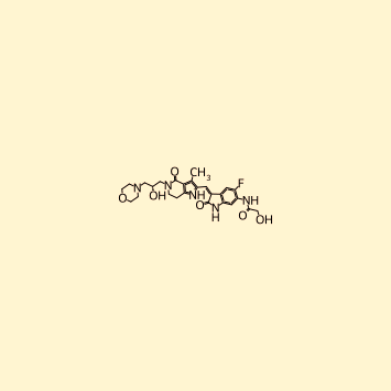 Cc1c(/C=C2\C(=O)Nc3cc(NC(=O)CO)c(F)cc32)[nH]c2c1C(=O)N(C[C@@H](O)CN1CCOCC1)CC2